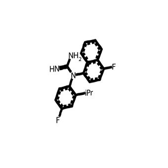 CC(C)c1cc(F)ccc1N(C(=N)N)c1ccc(F)c2ccccc12